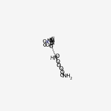 C[C@H]1C[C@H](CN/C=C/C(=O)c2ccccc2O)N(c2ccc(OCCCCCCCCC(=O)NCCOCCOCCOCCOCC(N)=O)cn2)C1